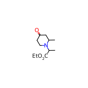 CCOC(=O)C(C)N1CCC(=O)CC1C